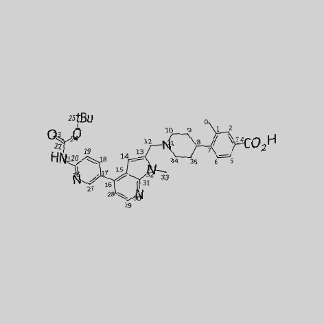 Cc1cc(C(=O)O)ccc1C1CCN(Cc2cc3c(-c4ccc(NC(=O)OC(C)(C)C)nc4)ccnc3n2C)CC1